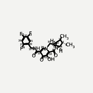 CC1C2C[C@@H]([C@H]1C)N1C(=O)c3c(O)c(=O)c(C(=O)NCc4cc(F)c(F)cc4F)cn3C[C@@H]21